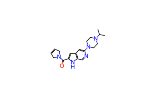 CC(C)N1CCN(c2cc3cc(C(=O)N4CC=CC4)[nH]c3cn2)CC1